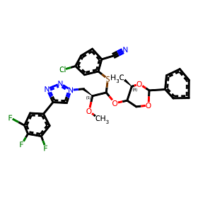 CO[C@@H](Cn1cc(-c2cc(F)c(F)c(F)c2)nn1)C(OC1COC(c2ccccc2)O[C@@H]1C)Sc1cc(Cl)ccc1C#N